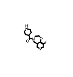 O=C(C1CCNCC1)N1CCOc2c(F)cncc2C1